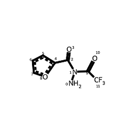 NN(C(=O)c1ccco1)C(=O)C(F)(F)F